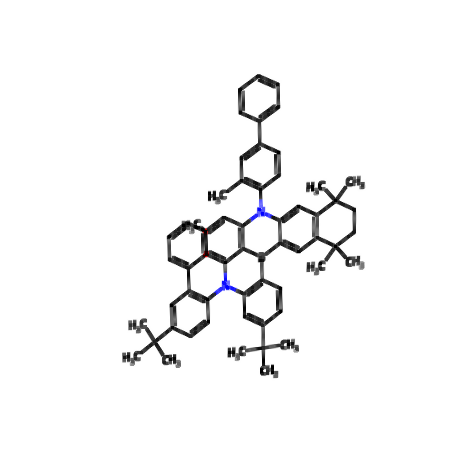 Cc1cc2c3c(c1)N(c1ccc(C(C)(C)C)cc1-c1ccccc1)c1cc(C(C)(C)C)ccc1B3c1cc3c(cc1N2c1ccc(-c2ccccc2)cc1C)C(C)(C)CCC3(C)C